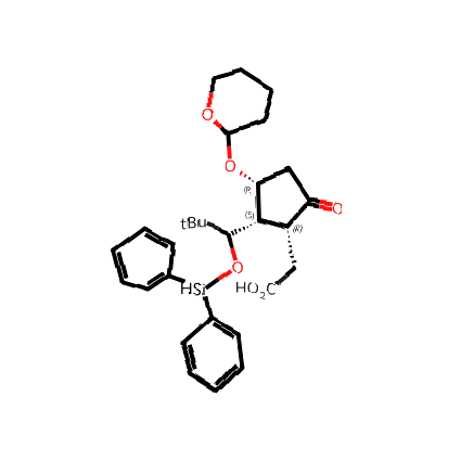 CC(C)(C)C(O[SiH](c1ccccc1)c1ccccc1)[C@@H]1[C@H](OC2CCCCO2)CC(=O)[C@@H]1CC(=O)O